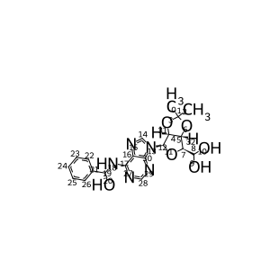 CC1(C)O[C@@H]2[C@H](O1)[C@@H](C(O)O)O[C@H]2n1cnc2c(NC(O)c3ccccc3)ncnc21